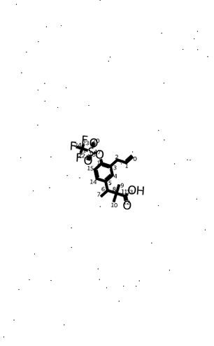 C=CCc1cc(C(C)C(C)(C)C(=O)O)ccc1OS(=O)(=O)C(F)(F)F